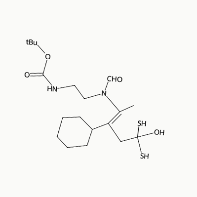 CC(=C(CC(O)(S)S)C1CCCCC1)N(C=O)CCNC(=O)OC(C)(C)C